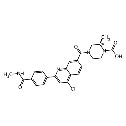 CNC(=O)c1ccc(-c2cc(Cl)c3ccc(C(=O)N4CCN(C(=O)O)[C@H](C)C4)cc3n2)cc1